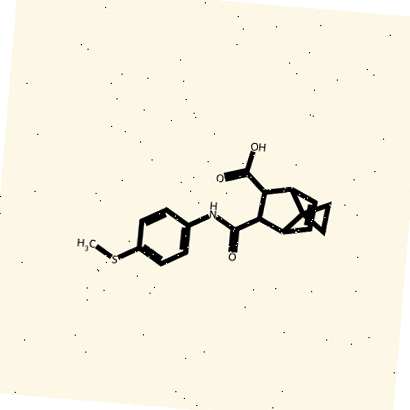 CSc1ccc(NC(=O)C2C(C(=O)O)C3C=CC2C32CC2)cc1